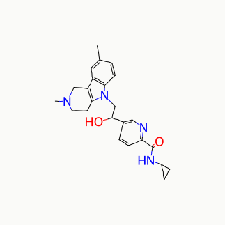 Cc1ccc2c(c1)c1c(n2CC(O)c2ccc(C(=O)NC3CC3)nc2)CCN(C)C1